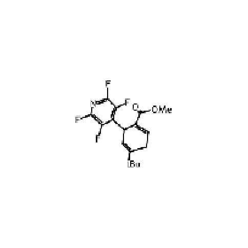 COC(=O)C1=CCC(C(C)(C)C)=CC1c1c(F)c(F)nc(F)c1F